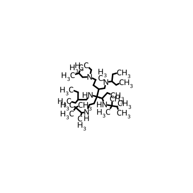 CC[C](NC(C)(C)C(C)C)C(CCNC(C)C(C)(C)C)(NCC(CC)CC)C(CCN(CC)CC(C)C)CN(C)C(CC)CC